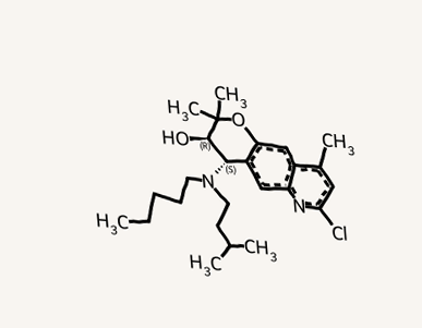 CCCCCN(CCC(C)C)[C@H]1c2cc3nc(Cl)cc(C)c3cc2OC(C)(C)[C@@H]1O